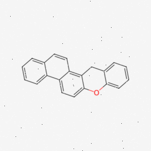 c1ccc2c(c1)Cc1c(ccc3c1ccc1ccccc13)O2